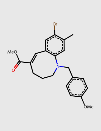 COC(=O)C1=Cc2cc(Br)c(C)cc2N(Cc2ccc(OC)cc2)CCC1